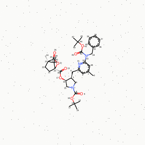 Cc1cc(C[C@H]2CN(C(=O)OC(C)(C)C)C[C@H]2OC(=O)[C@@]23CC[C@@](C)(C(=O)O2)C3(C)C)nc(N(Cc2ccccc2)C(=O)OC(C)(C)C)c1